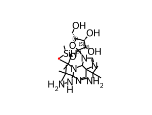 C[SiH](C)O[C@@]1(N2C=NC3(C(C)(C)C)C(N)=NC(NN)(C(C)(C)C)N(C(C)(C)C)C23)O[C@H](CO)[C@@H](O)[C@H]1O